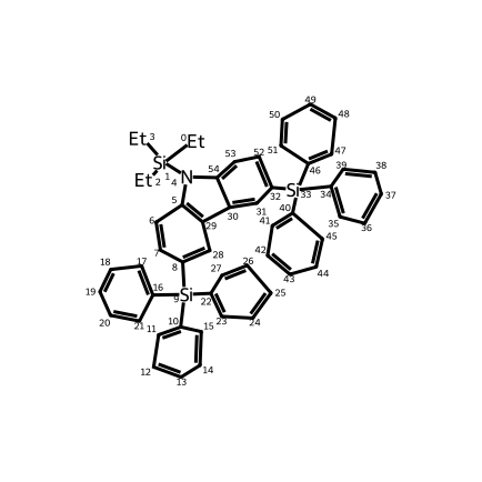 CC[Si](CC)(CC)n1c2ccc([Si](c3ccccc3)(c3ccccc3)c3ccccc3)cc2c2cc([Si](c3ccccc3)(c3ccccc3)c3ccccc3)ccc21